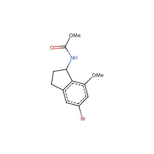 COC(=O)NC1CCc2cc(Br)cc(OC)c21